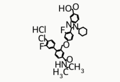 CC(C)NC(=O)c1ccc(-c2ccc(Cl)c(F)c2)c(COc2ccc(-c3nc4cc(C(=O)O)ccc4n3C3CCCCC3)c(F)c2)c1.Cl